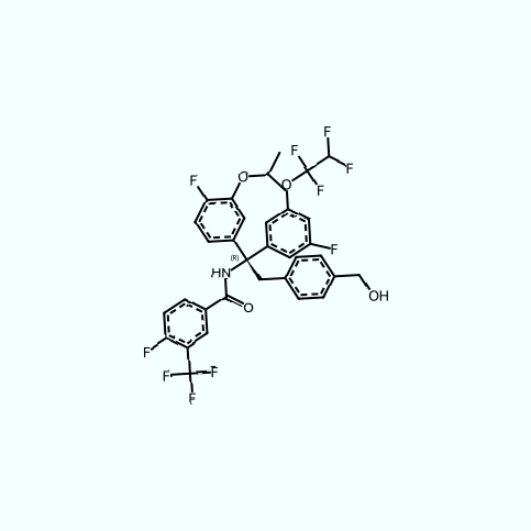 CC(C)Oc1cc([C@@](Cc2ccc(CO)cc2)(NC(=O)c2ccc(F)c(C(F)(F)F)c2)c2cc(F)cc(OC(F)(F)C(F)F)c2)ccc1F